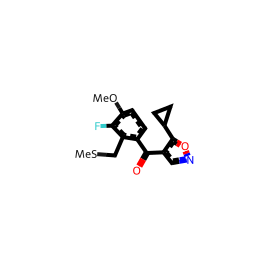 COc1ccc(C(=O)c2cnoc2C2CC2)c(CSC)c1F